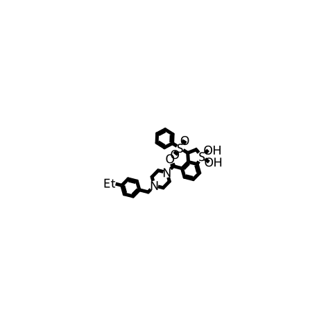 CCc1ccc(CN2CCN(C(=O)c3cccc4c3C(S(=O)(=O)c3ccccc3)CS4(O)O)CC2)cc1